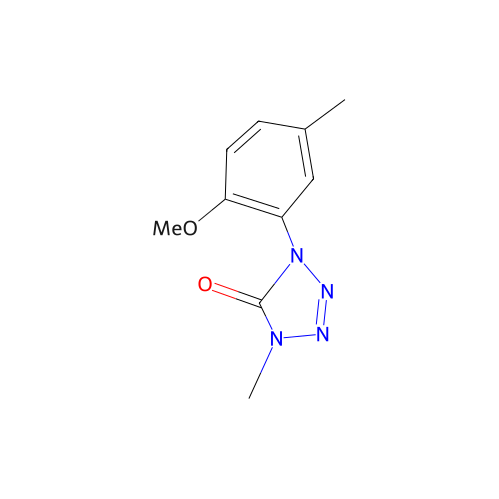 COc1ccc(C)cc1-n1nnn(C)c1=O